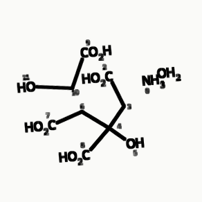 N.O.O=C(O)CC(O)(CC(=O)O)C(=O)O.O=C(O)CO